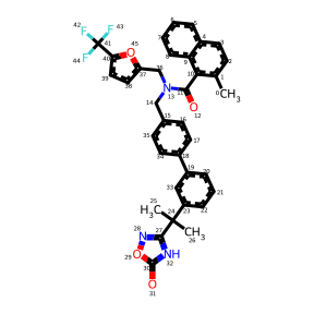 Cc1ccc2ccccc2c1C(=O)N(Cc1ccc(-c2cccc(C(C)(C)c3noc(=O)[nH]3)c2)cc1)Cc1ccc(C(F)(F)F)o1